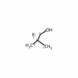 CC(C)CO.[K]